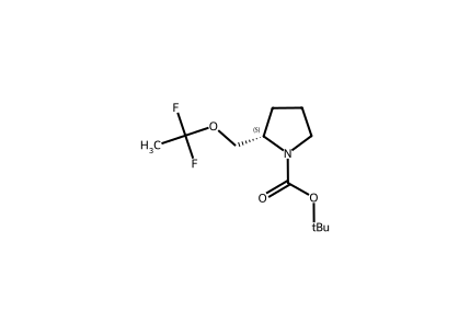 CC(C)(C)OC(=O)N1CCC[C@H]1COC(C)(F)F